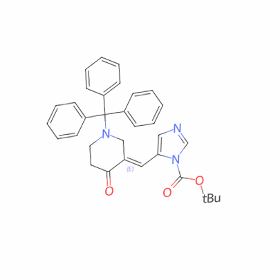 CC(C)(C)OC(=O)n1cncc1/C=C1\CN(C(c2ccccc2)(c2ccccc2)c2ccccc2)CCC1=O